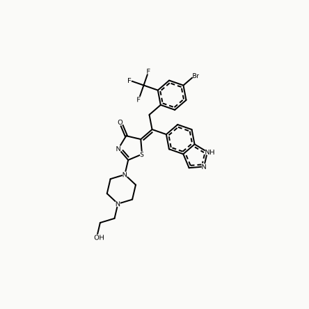 O=C1N=C(N2CCN(CCO)CC2)SC1=C(Cc1ccc(Br)cc1C(F)(F)F)c1ccc2[nH]ncc2c1